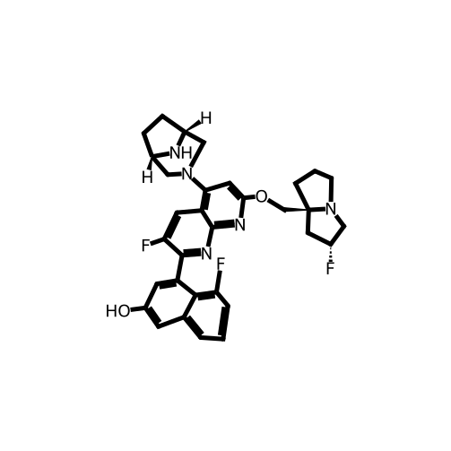 Oc1cc(-c2nc3nc(OC[C@@]45CCCN4C[C@H](F)C5)cc(N4C[C@H]5CC[C@@H](C4)N5)c3cc2F)c2c(F)cccc2c1